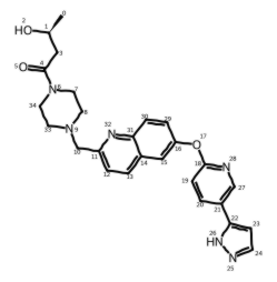 C[C@H](O)CC(=O)N1CCN(Cc2ccc3cc(Oc4ccc(-c5ccn[nH]5)cn4)ccc3n2)CC1